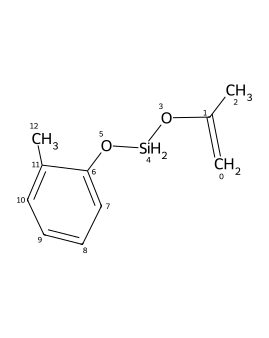 C=C(C)O[SiH2]Oc1ccccc1C